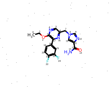 CCOc1ncc(Cn2cnc(C(N)=O)c2)nc1-c1ccc(F)c(F)c1